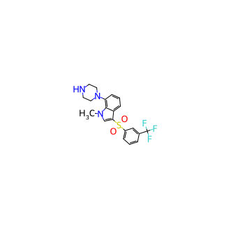 Cn1cc(S(=O)(=O)c2cccc(C(F)(F)F)c2)c2cccc(N3CCNCC3)c21